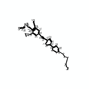 CCCCCCc1ccc(-c2ccc(C#Cc3cc(C)c(N=C=S)c(F)c3)cc2)cc1